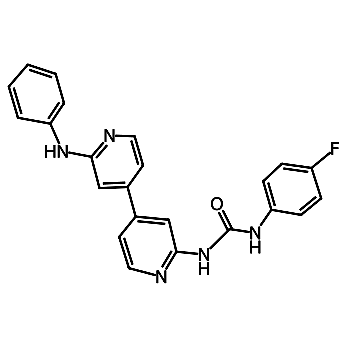 O=C(Nc1ccc(F)cc1)Nc1cc(-c2ccnc(Nc3ccccc3)c2)ccn1